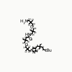 CC(C)(C)CCC(C)(C)Cc1cn(CC(C)(C)COCC(C)(C)CC(=O)NCC(C)(C)COCC(C)(C)CN)nn1